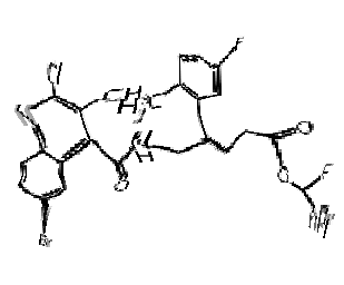 CCCC(F)OC(=O)CCC(CNC(=O)c1c(C)c(Cl)nc2ccc(Br)cc12)c1cc(F)ccc1C